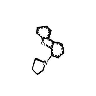 c1ccc2c(c1)oc1c(N3CCCC3)cccc12